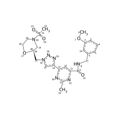 COc1cccc(CNC(=O)c2cc(-c3cn(C[C@@H]4CN(S(C)(=O)=O)CCO4)nn3)nc(C)n2)c1